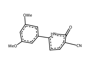 COc1cc(OC)cc(-c2ccc(C#N)c(=O)[nH]2)c1